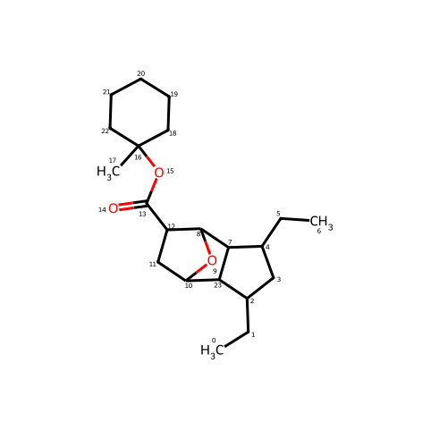 CCC1CC(CC)C2C3OC(CC3C(=O)OC3(C)CCCCC3)C12